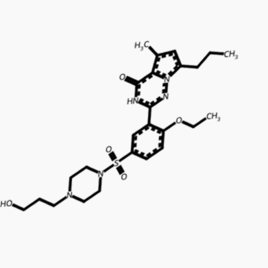 CCCc1cc(C)c2c(=O)[nH]c(-c3cc(S(=O)(=O)N4CCN(CCCO)CC4)ccc3OCC)nn12